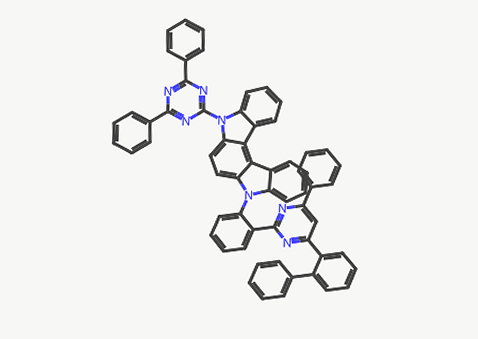 c1ccc(-c2cc(-c3ccccc3-c3ccccc3)nc(-c3ccccc3-n3c4ccccc4c4c5c6ccccc6n(-c6nc(-c7ccccc7)nc(-c7ccccc7)n6)c5ccc43)n2)cc1